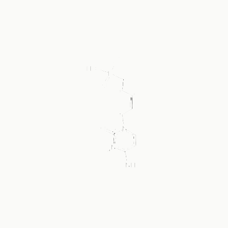 CP(=O)(O)CC/C=C\Cn1ccc(N)nc1=O